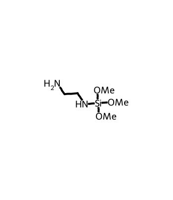 CO[Si](NCCN)(OC)OC